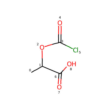 CC(OC(=O)Cl)C(=O)O